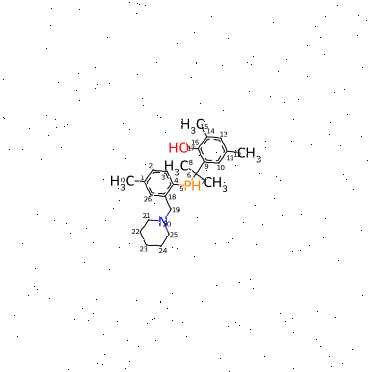 Cc1ccc(PC(C)(C)c2cc(C)cc(C)c2O)c(CN2CCCCC2)c1